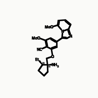 CC[C@@H]1CCC[C@@]1(N)COc1cc(-c2cnc3cccc(OC)n23)cc(OC)c1C#N